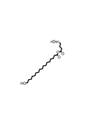 CCCCCCCCCCCCCC(=O)OC(=O)CCCCCCCCCCCCCCCCO